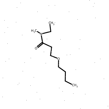 CCCCOCCC(=O)N(C)CC